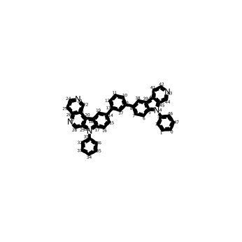 c1ccc(-n2c3ccc(-c4cccc(-c5ccc6c(c5)c5c7cnccc7ncc5n6-c5ccccc5)c4)cc3c3ccncc32)cc1